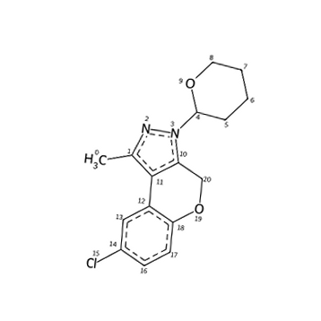 Cc1nn(C2CCCCO2)c2c1-c1cc(Cl)ccc1OC2